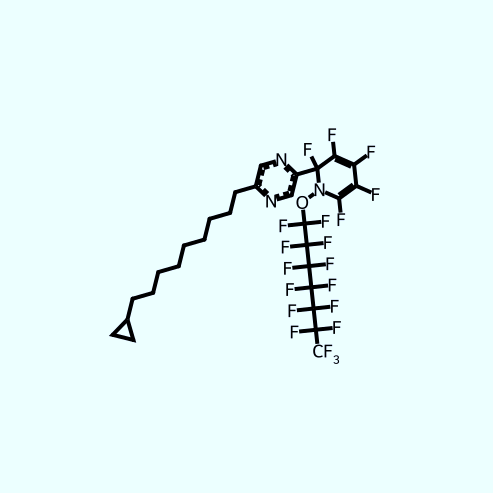 FC1=C(F)N(OC(F)(F)C(F)(F)C(F)(F)C(F)(F)C(F)(F)C(F)(F)C(F)(F)F)C(F)(c2cnc(CCCCCCCCCC3CC3)cn2)C(F)=C1F